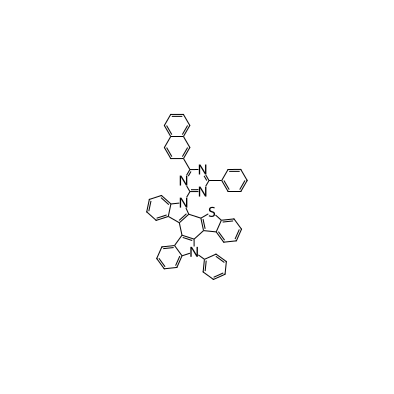 c1ccc(-c2nc(-c3ccc4ccccc4c3)nc(-n3c4ccccc4c4c5c6ccccc6n(-c6ccccc6)c5c5c6ccccc6sc5c43)n2)cc1